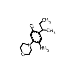 CCC(C)c1cc(N)c(N2CCOCC2)cc1Cl